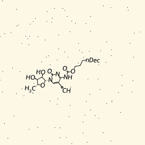 C#Cc1cn([C@@H]2O[C@H](C)[C@@H](O)[C@H]2O)c(=O)nc1NC(=O)OCCCCCCCCCCCCC